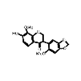 COc1cc2c(cc1C1COc3c(ccc(O)c3OC)C1=O)OCO2